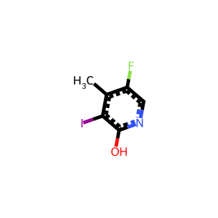 Cc1c(F)cnc(O)c1I